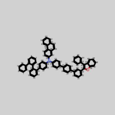 c1ccc(-c2ccccc2-c2ccccc2-c2ccc(N(c3ccc(-c4ccc(-c5cccc(-c6oc7ccccc7c6-c6ccccc6)c5)cc4)cc3)c3ccc4c(ccc5ccccc54)c3)cc2)cc1